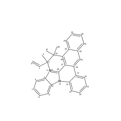 C=CC1(C)[n+]2c3ccccc3n3c4ccccc4c4cc5ccccc5c(c4c32)C1(C)C